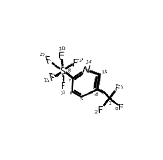 FC(F)(F)c1ccc(S(F)(F)(F)(F)F)nc1